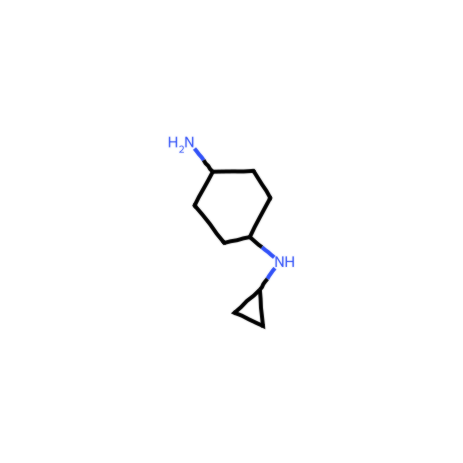 NC1CCC(NC2CC2)CC1